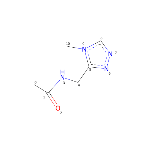 CC(=O)NCc1nncn1C